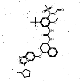 COc1c(NC(=O)N[C@H]2CC[C@@H](Oc3ccc4nnc([C@@H]5CCCN5C)n4c3)c3ccccc32)cc(C(C)(C)C)cc1N(OC=O)S(C)(=O)=O